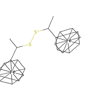 CC(SSC(C)[C]12[CH]3[CH]4[CH]5[CH]1[Fe]45321678[CH]2[CH]1[CH]6[CH]7[CH]28)[C]12[CH]3[CH]4[CH]5[CH]1[Fe]45321678[CH]2[CH]1[CH]6[CH]7[CH]28